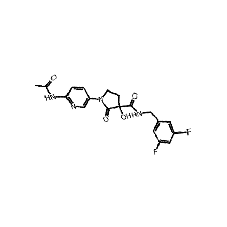 CC(=O)Nc1ccc(N2CCC(O)(C(=O)NCc3cc(F)cc(F)c3)C2=O)cn1